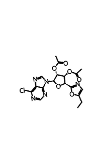 CCc1cnc([C@H]2O[C@@H](n3cnc4c(Cl)ncnc43)[C@H](OC(C)=O)[C@H]2OC(C)=O)o1